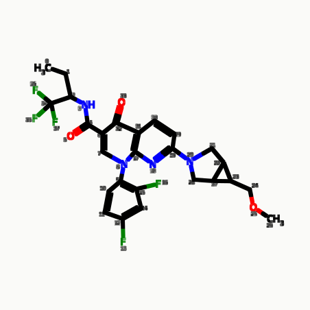 CCC(NC(=O)c1cn(-c2ccc(F)cc2F)c2nc(N3CC4C(COC)C4C3)ccc2c1=O)C(F)(F)F